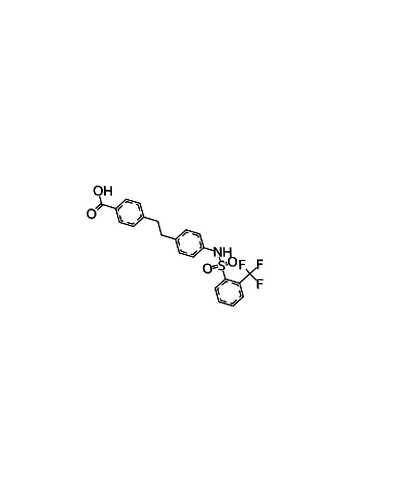 O=C(O)c1ccc(CCc2ccc(NS(=O)(=O)c3ccccc3C(F)(F)F)cc2)cc1